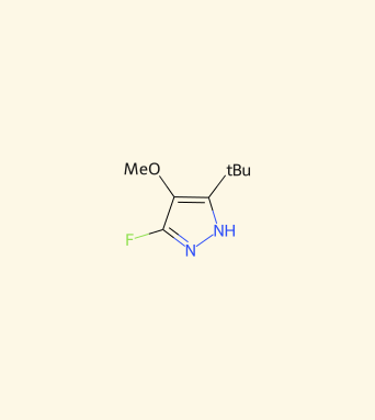 COc1c(F)n[nH]c1C(C)(C)C